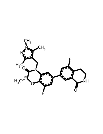 Cc1nn(C)c(C)c1CN1C(=O)[C@@H](C)Oc2c(F)cc(-c3cc(F)c4c(c3)C(=O)NCC4)cc21